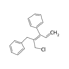 C=CC(=C(CCl)Cc1ccccc1)c1ccccc1